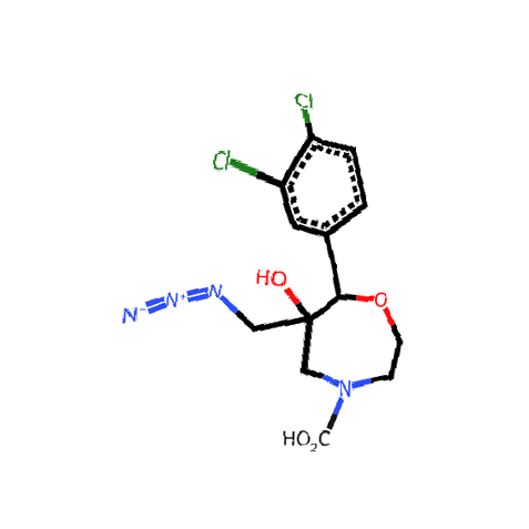 [N-]=[N+]=NCC1(O)CN(C(=O)O)CCOC1c1ccc(Cl)c(Cl)c1